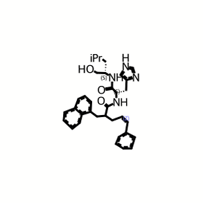 CC(C)C[C@@H](CO)NC(=O)[C@H](Cc1c[nH]cn1)NC(=O)C(C/C=C\c1ccccc1)Cc1cccc2ccccc12